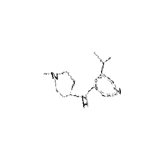 CC(C)c1cncc(NC2CCN(C)CC2)c1